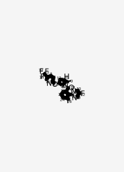 C[C@@H]1[C@@H]2CC([C@H](Oc3ccc(C(F)(F)F)cn3)C2)N1C(=O)c1cccc(F)c1-c1ncc(F)cn1